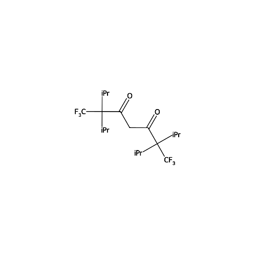 CC(C)C(C(=O)CC(=O)C(C(C)C)(C(C)C)C(F)(F)F)(C(C)C)C(F)(F)F